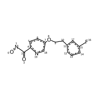 O=NC(=O)c1ccc(OCCc2cccc(F)c2)cn1